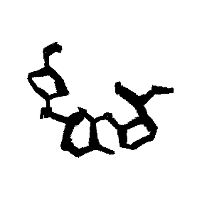 CNC(=O)c1ccccc1Oc1nc(Nc2ccc(OC)cc2)ncc1C